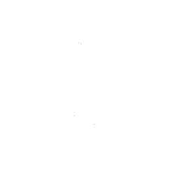 CC#N.CN(CCCc1ccc(C2(Cl)CC2)c(C2(Cl)CC2)c1)CCc1ccccc1